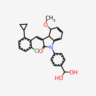 COC1C=CC=C2C1/C(=C/c1c(Cl)cccc1C1CC1)C(=O)N2c1ccc(C(O)O)cc1